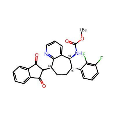 CC(C)(C)OC(=O)N[C@@H]1c2cccnc2[C@H](C2C(=O)c3ccccc3C2=O)CC[C@H]1c1cccc(F)c1F